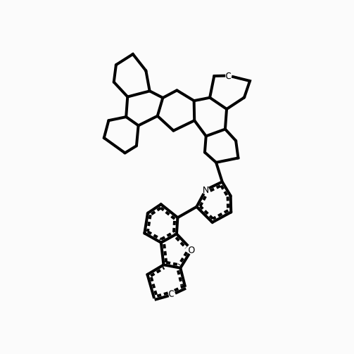 c1cc(-c2cccc3c2oc2ccccc23)nc(C2CCC3C4CCCCC4C4CC5C6CCCCC6C6CCCCC6C5CC4C3C2)c1